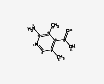 Cc1cnc(N)c(C)c1C(=O)O